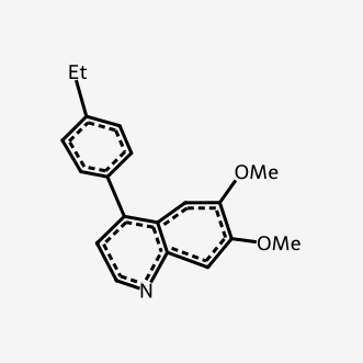 CCc1ccc(-c2ccnc3cc(OC)c(OC)cc23)cc1